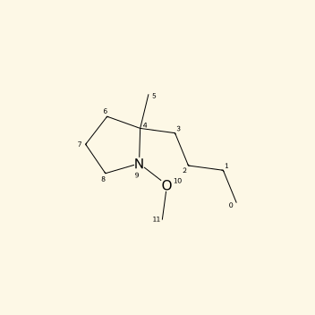 CCCCC1(C)CCCN1OC